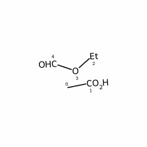 CC(=O)O.CCOC=O